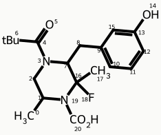 CC1CN(C(=O)C(C)(C)C)C(Cc2cccc(O)c2)C(C)(F)N1C(=O)O